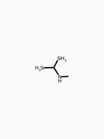 CNC([SiH3])[SiH3]